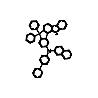 c1ccc(-c2ccc(N(c3ccc4c(c3)-c3c(ccc5c3sc3ccccc35)C4(c3ccccc3)c3ccccc3)c3ccc4ccccc4c3)cc2)cc1